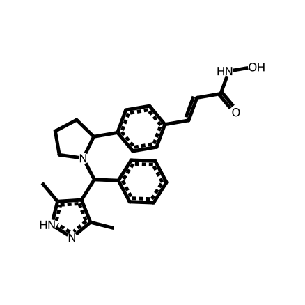 Cc1n[nH]c(C)c1C(c1ccccc1)N1CCCC1c1ccc(/C=C/C(=O)NO)cc1